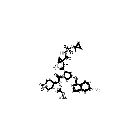 CC[C@@H]1C[C@]1(NC(=O)[C@@H]1C[C@@H](Oc2nccc3cc(OC)ccc23)CN1C(=O)[C@H](NC(=O)OC(C)(C)C)C1CCS(=O)(=O)CC1)C(=O)NS(=O)(=O)OC1(C)CC1